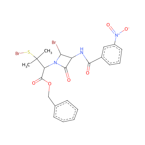 CC(C)(SBr)C(C(=O)OCc1ccccc1)N1C(=O)C(NC(=O)c2cccc([N+](=O)[O-])c2)C1Br